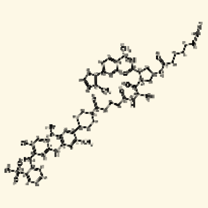 Cc1cc(Nc2ncc(Cl)c(Nc3ccccc3S(=O)(=O)C(C)C)n2)c(OC(C)C)cc1C1CCN(C(=O)CCCC(=O)NC(C(=O)N2CC(OC(=O)CCCCN=[N+]=[N-])CC2C(=O)N[C@@H](C)c2ccc(-c3scnc3C)cc2)C(C)(C)C)CC1